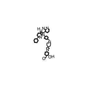 Nc1ncccc1-c1nc2ccc(-c3ccccc3)nc2n1-c1ccc(CN2CCC3(CC2)CN(c2ccc(C=O)c(O)c2)C3)cc1